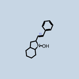 ON1C(/C=C/c2ccccc2)CC2CCCCC21